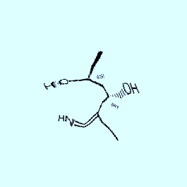 CC(=N)[C@@H](O)[C@H](C)O